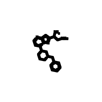 CNCC(N)c1cc2nccc(C3CCCN(Cc4ccccc4)C3)n2n1